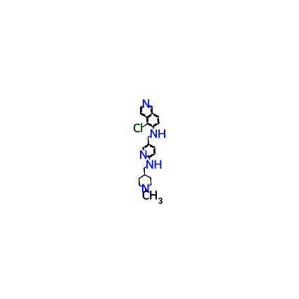 CN1CCC(CNc2ccc(CNc3ccc4cnccc4c3Cl)cn2)CC1